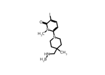 BNCC1(C)CCN(c2ccc(I)c(=O)n2C)CC1